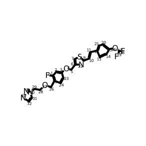 Fc1cc(OCc2csc(/C=C/c3ccc(OC(F)F)cc3)n2)ccc1COCCn1ccnn1